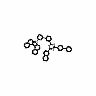 c1ccc(-c2ccc(-c3nc(-c4cccc(-c5cccc(-n6c7ccc8ccccc8c7c7c8ccccc8ccc76)c5)c4)nc(-c4ccc5ccccc5c4)n3)cc2)cc1